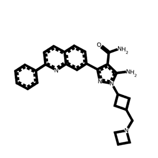 NC(=O)c1c(-c2ccc3ccc(-c4ccccc4)nc3c2)nn(C2CC(CN3CCC3)C2)c1N